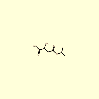 CC(C)OC(=O)CC(N)C(=O)O